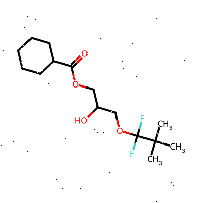 CC(C)(C)C(F)(F)OCC(O)COC(=O)C1CCCCC1